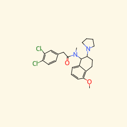 COc1cccc2c1CCC(N1CCCC1)C2N(C)C(=O)Cc1ccc(Cl)c(Cl)c1